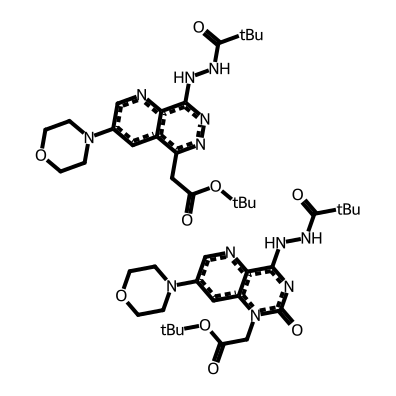 CC(C)(C)OC(=O)Cc1nnc(NNC(=O)C(C)(C)C)c2ncc(N3CCOCC3)cc12.CC(C)(C)OC(=O)Cn1c(=O)nc(NNC(=O)C(C)(C)C)c2ncc(N3CCOCC3)cc21